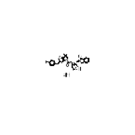 C[C@@H]1CN(CC(=O)N2CC(C)(C)c3nnc(Cc4ccc(F)cc4)cc32)[C@@H](CN2Cc3ccccc3C2=O)CN1.Cl.Cl